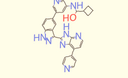 OC(Nc1cncc(-c2ccc3[nH]nc(-c4nc5c(-c6ccncc6)ccnc5[nH]4)c3c2)c1)C1CCC1